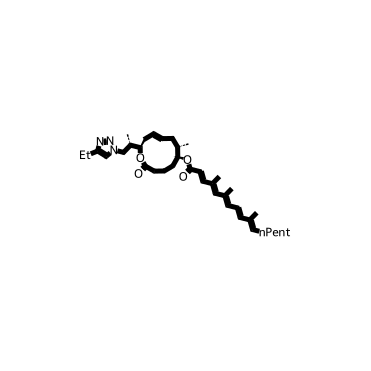 CCCCC/C=C(C)/C=C/C=C(C)/C=C(C)/C=C/C(=O)O[C@H]1CCCC(=O)O[C@@H]([C@@H](C)Cn2cc(CC)nn2)C/C=C/C[C@@H]1C